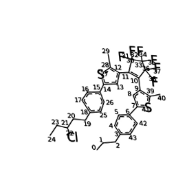 CCCc1ccc(-c2cc(C3=C(c4cc(-c5ccc(CCC(Cl)CC)cc5)sc4C)C(F)(F)C(F)(F)C3(F)F)c(C)s2)cc1